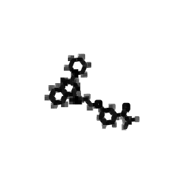 CN(C)C(=O)c1cccc(OCCNc2nc(N3CCCCC3)nc3ccccc23)c1